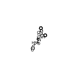 O=C(NCCN1CCOCC1)c1csc(NC(=O)C(c2ccccc2)N2Cc3ccccc3C2=O)n1